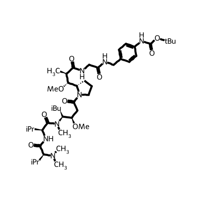 CC[C@H](C)[C@@H]([C@@H](CC(=O)N1CCC[C@H]1[C@H](OC)[C@@H](C)C(=O)NCC(=O)NCc1ccc(NC(=O)OC(C)(C)C)cc1)OC)N(C)C(=O)[C@@H](NC(=O)[C@H](C(C)C)N(C)C)C(C)C